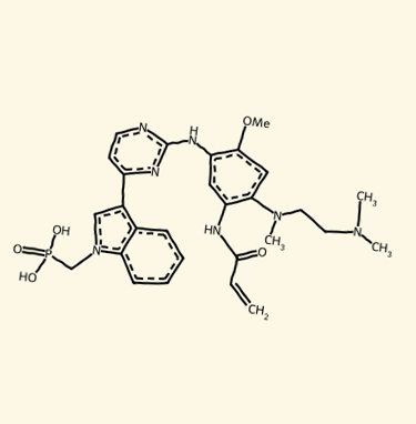 C=CC(=O)Nc1cc(Nc2nccc(-c3cn(CP(=O)(O)O)c4ccccc34)n2)c(OC)cc1N(C)CCN(C)C